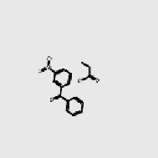 CCC(=O)Cl.O=C(c1ccccc1)c1cccc([N+](=O)[O-])c1